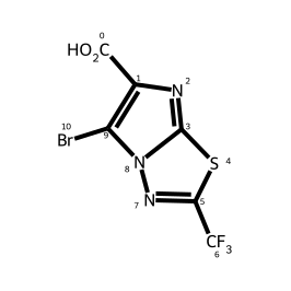 O=C(O)c1nc2sc(C(F)(F)F)nn2c1Br